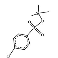 C[Si](C)(C)OS(=O)(=O)c1ccc(Cl)cc1